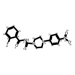 O=C(NC(=S)N1CCN(c2ccc([N+](=O)[O-])cc2)CC1)c1ccccc1F